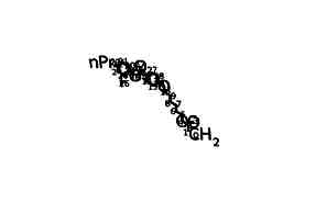 C=CC(=O)OCCCCCCOc1ccc(C(=O)Oc2ccc(CCC)cc2F)cc1